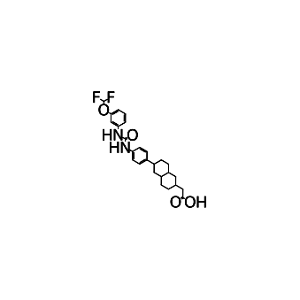 O=C(O)CC1CCC2CC(c3ccc(NC(=O)Nc4cccc(OC(F)F)c4)cc3)CCC2C1